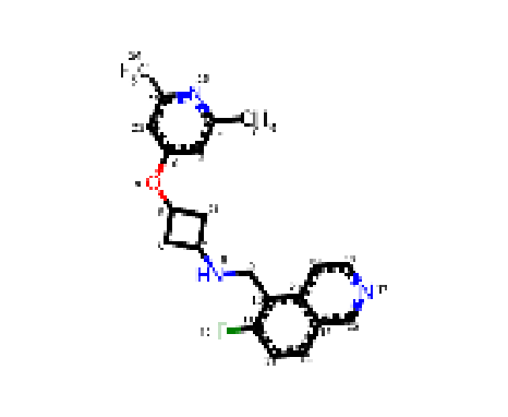 Cc1cc(OC2CC(NCc3c(F)ccc4cnccc34)C2)cc(C(F)(F)F)n1